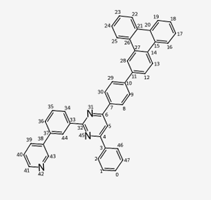 c1ccc(-c2cc(-c3ccc(-c4ccc5c6ccccc6c6ccccc6c5c4)cc3)nc(-c3cccc(-c4cccnc4)c3)n2)cc1